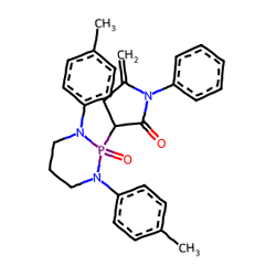 C=C1CC(P2(=O)N(c3ccc(C)cc3)CCCN2c2ccc(C)cc2)C(=O)N1c1ccccc1